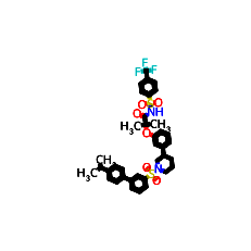 CC(C)c1ccc(-c2cccc(S(=O)(=O)N3CCCC(c4cccc(OC(C)(C)C(=O)NS(=O)(=O)c5ccc(C(F)(F)F)cc5)c4)C3)c2)cc1